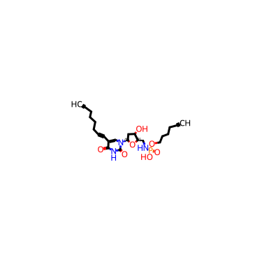 C#CCCCCC#Cc1cn([C@H]2CC(O)[C@@H](CNP(=O)(O)OCCCCC#C)O2)c(=O)[nH]c1=O